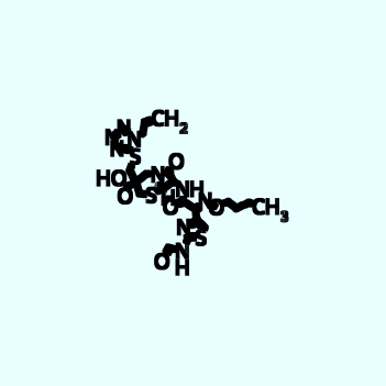 C=CCn1nnnc1SCC1(C(=O)O)CS[C@@H]2C(NC(=O)C(=NOCCCC)c3csc(NC=O)n3)C(=O)N2C1